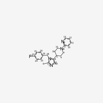 Cc1nnc(C2CCN(c3ccccn3)CC2)n1Cc1ccc(F)cc1